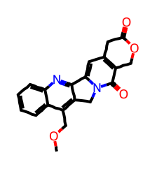 COCc1c2c(nc3ccccc13)-c1cc3c(c(=O)n1C2)COC(=O)C3